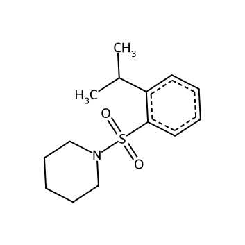 CC(C)c1ccccc1S(=O)(=O)N1CCCCC1